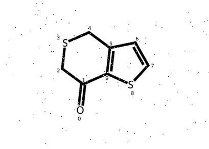 O=C1CSCc2ccsc21